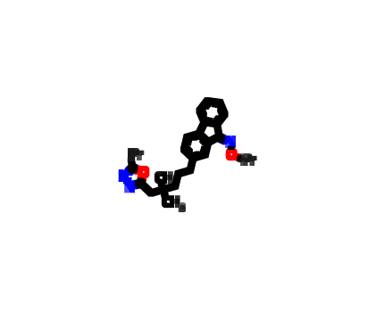 CC(C)O/N=C1/c2ccccc2-c2ccc(CCCC(C)(C)Cc3nnc(C(C)C)o3)cc21